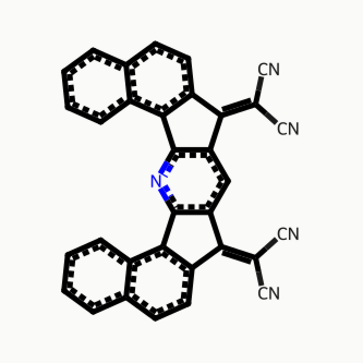 N#CC(C#N)=C1c2cc3c(nc2-c2c1ccc1ccccc21)-c1c(ccc2ccccc12)C3=C(C#N)C#N